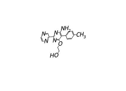 Cc1ccc(-c2c(N)nc(-c3cnccn3)nc2OCCO)cc1